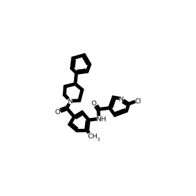 Cc1ccc(C(=O)N2CCC(c3ccccc3)CC2)cc1NC(=O)c1ccc(Cl)nc1